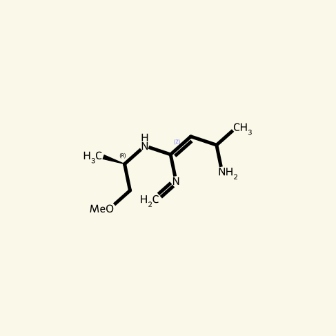 C=N/C(=C\C(C)N)N[C@H](C)COC